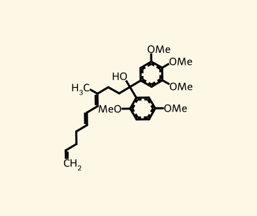 C=CCC/C=C/C=C(\C)CCC(O)(c1cc(OC)c(OC)c(OC)c1)c1cc(OC)ccc1OC